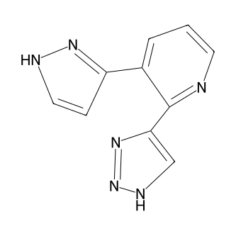 c1cnc(-c2c[nH]nn2)c(-c2cc[nH]n2)c1